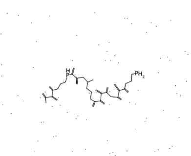 C=C(C)C(=C)C(=C)CCCPC(=C)C(=C)CC(C)CCCC(=C)C(=C)C(=C)C(=C)CC(=C)C(=C)C(=C)CCCP